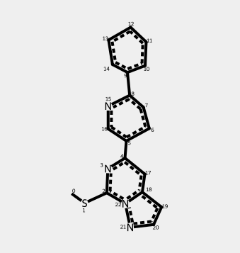 CSc1nc(-c2ccc(-c3ccccc3)nc2)cc2ccnn12